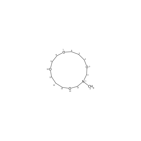 CN1COCCCOCCOCCCOC1